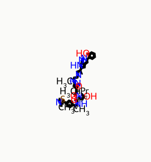 Cc1ncsc1-c1ccc([C@H](C)NC(=O)[C@@H]2C[C@@H](O)CN2C(=O)[C@](C)(c2cc(N(C)CCN3CC(c4cc5cc(-c6ccccc6O)nnc5[nH]4)C3)no2)C(C)C)cc1